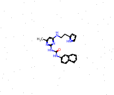 Cc1cc(NCCc2ccc[nH]2)nc(NC(=O)Nc2ccc3ccccc3c2)n1